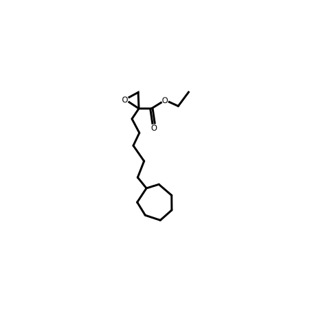 CCOC(=O)C1(CCCCCC2CCCCCC2)CO1